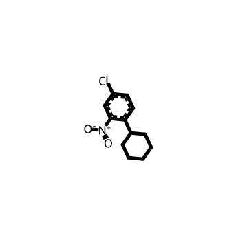 O=[N+]([O-])c1cc(Cl)ccc1C1CCCCC1